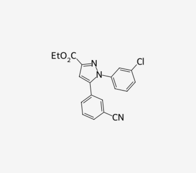 CCOC(=O)c1cc(-c2cccc(C#N)c2)n(-c2cccc(Cl)c2)n1